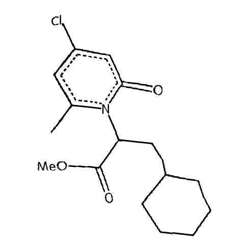 COC(=O)C(CC1CCCCC1)n1c(C)cc(Cl)cc1=O